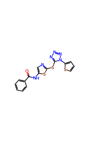 O=C(Nc1cnc(Sc2nnnn2-c2cccs2)s1)c1ccccc1